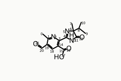 Cc1nc(C2=NC(C)(C(C)C)C(=O)N2)c(C(=O)O)cc1C=O